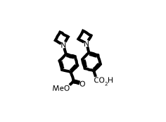 COC(=O)c1ccc(N2CCC2)cc1.O=C(O)c1ccc(N2CCC2)cc1